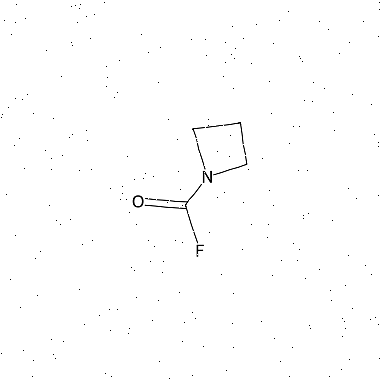 O=C(F)N1CCC1